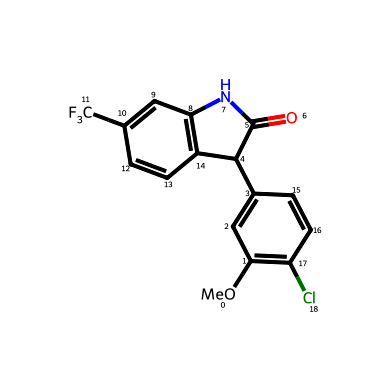 COc1cc(C2C(=O)Nc3cc(C(F)(F)F)ccc32)ccc1Cl